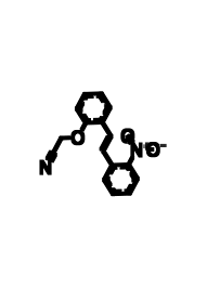 N#CCOc1ccccc1/C=C/c1ccccc1[N+](=O)[O-]